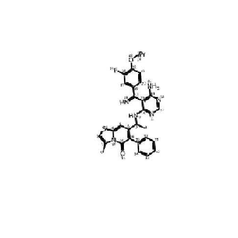 Cc1csc2cc(C(C)Nc3ncnc(N)c3C(=N)c3ccc(OC(C)C)c(F)c3)c(-c3ccccc3)c(=O)n12